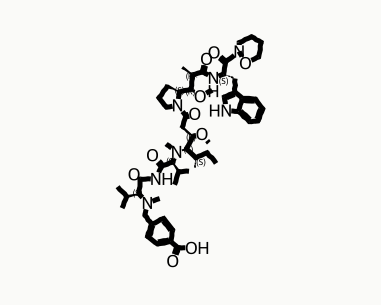 CC[C@H](C)[C@@H]([C@@H](CC(=O)N1CCC[C@H]1[C@H](OC)[C@@H](C)C(=O)N[C@@H](Cc1c[nH]c2ccccc12)C(=O)N1CCCCO1)OC)N(C)[C@H](C(=O)NC(=O)[C@H](C(C)C)N(C)Cc1ccc(C(=O)O)cc1)C(C)C